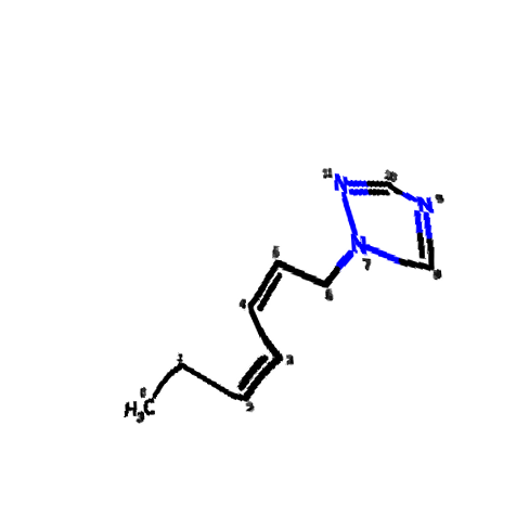 CC/C=C\C=C/Cn1cncn1